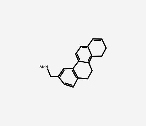 CNCc1ccc2c(c1)-c1ccc3c(c1CC2)CCC=C3